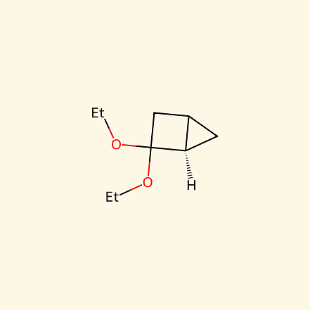 CCOC1(OCC)CC2C[C@H]21